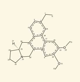 CCc1ccc2c3c(c4cc(OC)c(OC)cc4c2c1)CN1CCC[C@H]1C3